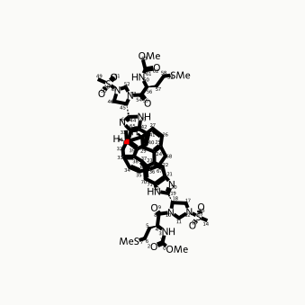 COC(=O)N[C@@H](CCSC)C(=O)N1CN(S(C)(=O)=O)C[C@H]1c1nc2cc(C3=C4C=C[C@H](C3)[C@H](C)Cc3ccc(cc3-c3ccc5[nH]c([C@@H]6CN(S(C)(=O)=O)CN6C(=O)[C@H](CCSC)NC(=O)OC)nc5c3)CC4)ccc2[nH]1